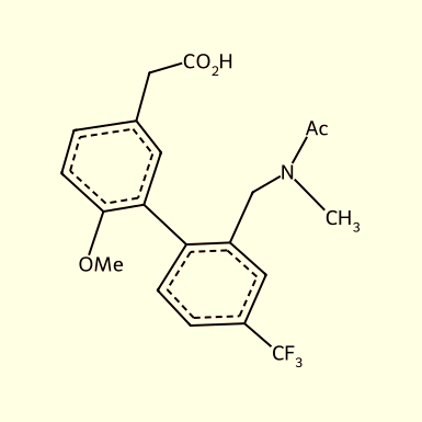 COc1ccc(CC(=O)O)cc1-c1ccc(C(F)(F)F)cc1CN(C)C(C)=O